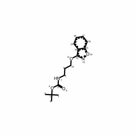 CC(C)(C)OC(=O)NCCCOc1noc2ccccc12